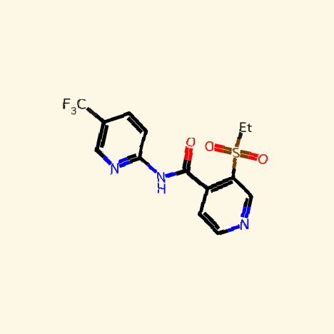 CCS(=O)(=O)c1cnccc1C(=O)Nc1ccc(C(F)(F)F)cn1